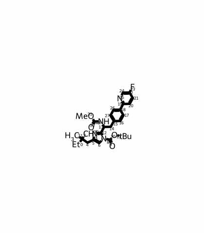 CCC(C)(C)Cc1cn(C(=O)OC(C)(C)C)c(C(Cc2ccc(-c3ccc(F)cn3)cc2)NC(=O)OC)n1